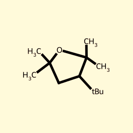 CC1(C)CC(C(C)(C)C)C(C)(C)O1